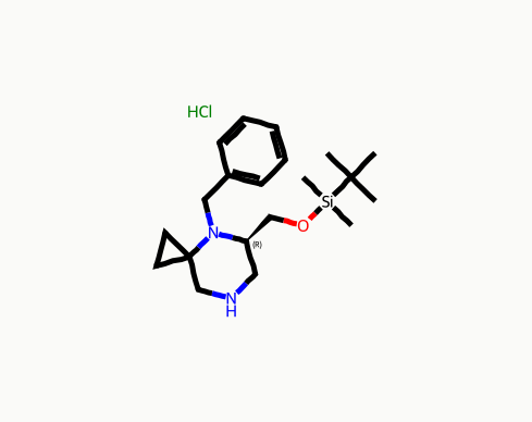 CC(C)(C)[Si](C)(C)OC[C@H]1CNCC2(CC2)N1Cc1ccccc1.Cl